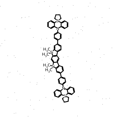 C[Si]1(C)c2cc(-c3ccc(N4c5ccccc5[Si]5(CCCC5)c5ccccc54)cc3)ccc2-c2cc3c(cc21)[Si](C)(C)c1cc(-c2ccc(N4c5ccccc5[Si]5(CCCC5)c5ccccc54)cc2)ccc1-3